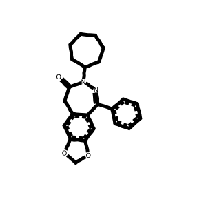 O=C1Cc2cc3c(cc2C(c2ccccc2)=NN1C1CCCCCC1)OCO3